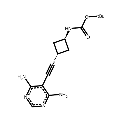 CC(C)(C)OC(=O)N[C@H]1C[C@H](C#Cc2c(N)ncnc2N)C1